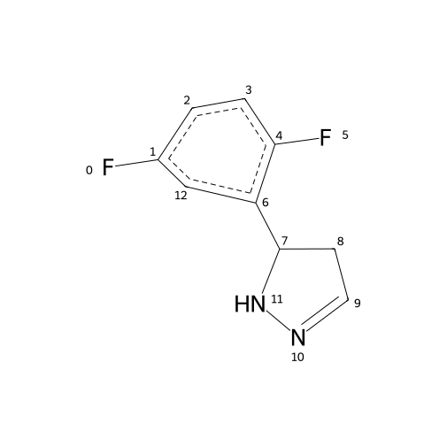 Fc1ccc(F)c(C2CC=NN2)c1